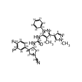 Cc1c(-c2cnn(C)c2)nn(-c2ccccc2)c1NC(=O)N[C@@H]1CN(C#N)C[C@H]1c1ccc(F)c(F)c1